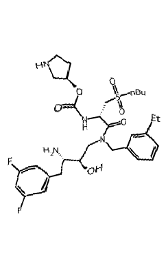 CCCCS(=O)(=O)C[C@@H](NC(=O)O[C@@H]1CCNC1)C(=O)N(Cc1cccc(CC)c1)C[C@@H](O)[C@@H](N)Cc1cc(F)cc(F)c1